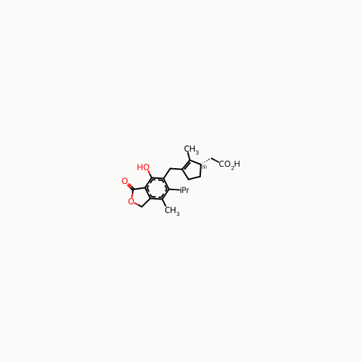 CC1=C(Cc2c(O)c3c(c(C)c2C(C)C)COC3=O)CC[C@H]1CC(=O)O